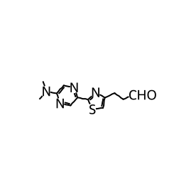 CN(C)c1cnc(-c2nc(CCC=O)cs2)cn1